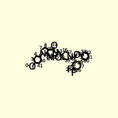 COc1ccc(-n2ccc3c(=O)n(CC4(O)CCN(C(=O)[C@@H]5CC(F)(F)CC[C@H]5c5ccccc5)CC4)cnc32)cc1